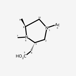 CC(=O)N1C[C@H](CC(=O)O)N(C)[C@@H](C)C1